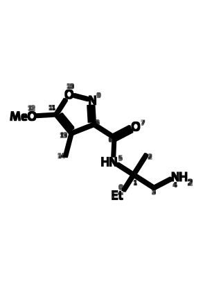 CCC(C)(CN)NC(=O)c1noc(OC)c1C